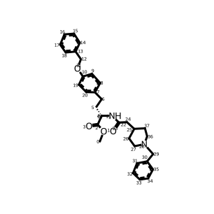 COC(=O)[C@H](CCc1ccc(OCc2ccccc2)cc1)NC(=O)CC1CCN(Cc2ccccc2)CC1